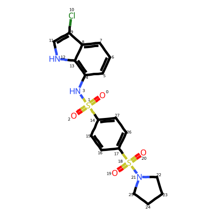 O=S(=O)(Nc1cccc2c(Cl)c[nH]c12)c1ccc(S(=O)(=O)N2CCCC2)cc1